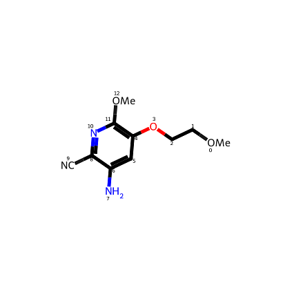 COCCOc1cc(N)c(C#N)nc1OC